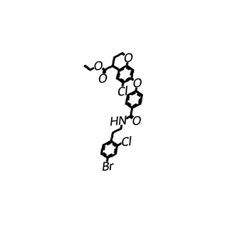 CCOC(=O)C1CCOc2cc(Oc3ccc(C(=O)NCCc4ccc(Br)cc4Cl)cc3)c(Cl)cc21